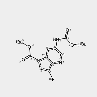 CC(C)(C)OC(=O)Nc1cnc2c(F)cn(C(=O)OC(C)(C)C)c2c1